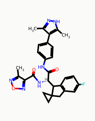 Cc1nonc1C(=O)N[C@H](C(=O)Nc1ccc(-c2c(C)n[nH]c2C)cc1)C1c2ccc(F)cc2CC12CC2